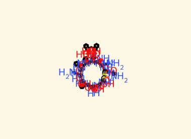 CC(O)[C@@H]1NC(=O)[C@H](Cc2ccccc2)NC(=O)[C@H](C(C)O)NC(=O)[C@H](CCCCN)NC(=O)[C@H](Cc2c[nH]c3ccccc23)NC(=O)[C@H](Cc2ccccc2)NC(=O)[C@H](Cc2ccccc2)NC(=O)[C@H](CC(N)=O)NC(=O)[C@H](CCCCN)NC(=O)[C@@H](NC(=O)CNC(=O)[C@H](C)N)CSSC[C@@H](C(=O)O)NC(=O)[C@H](CO)NC1=O.O=C(O)c1cc2ccccc2c(Cc2c(O)c(C(=O)O)cc3ccccc23)c1O